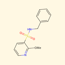 COc1ncccc1S(=O)(=O)NCc1ccccc1